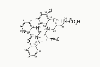 C#CCC(c1nc2cccnc2c(=O)n1Nc1ccccc1)N(CCCNC(=O)O)c1cccc(Cl)c1F